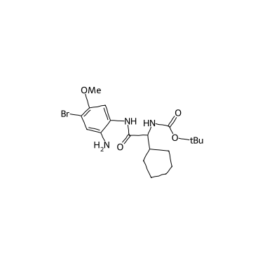 COc1cc(NC(=O)C(NC(=O)OC(C)(C)C)C2CCCCC2)c(N)cc1Br